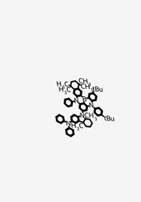 CC(C)(C)c1ccc(N2c3ccc(C(C)(C)C)cc3B3c4cc5c(cc4N(c4ccccc4)c4cc(N6c7ccc(N(c8ccccc8)c8ccccc8)cc7C7(C)CCCCC67C)cc2c43)C(C)(C)CCC5(C)C)cc1